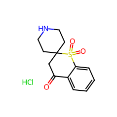 Cl.O=C1CC2(CCNCC2)S(=O)(=O)c2ccccc21